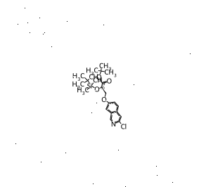 CC(C)(C)OC(=O)[C@@H](COc1ccc2cc(Cl)ncc2c1)O[Si](C)(C)C(C)(C)C